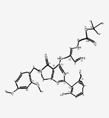 COc1ccc(CN2Cc3nc(-c4c(F)cccc4F)nc(N/C(C=N)=C/NCC(=O)OC(C)(C)C)c3C2=O)c(OC)c1